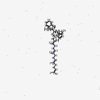 CC(C)=CCC/C(C)=C/CC/C(C)=C/CC/C(C)=C/CSCC(Nc1[nH]ccc1C)c1nc2ccccc2[nH]1